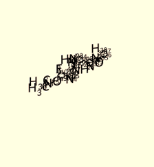 CN(C)CCOc1cc(F)cc(-c2nccc3[nH]c(-c4n[nH]c5ccc(-c6cncc(NC(=O)c7ccccc7)c6)cc45)cc23)c1